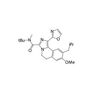 COc1cc2c(cc1CC(C)C)-c1c(-c3ncco3)nc(C(=O)N(C)C(C)(C)C)n1CC2